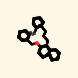 O=C(O)c1ccccc1CCCc1c(OCc2ccccc2)ccc2ccccc12